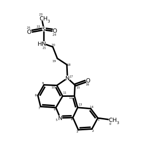 Cc1ccc2nc3cccc4c3c(c2c1)C(=O)N4CCCNS(C)(=O)=O